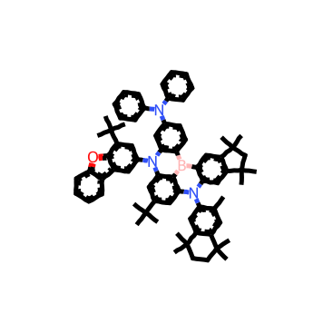 Cc1cc2c(cc1N1c3cc4c(cc3B3c5ccc(N(c6ccccc6)c6ccccc6)cc5N(c5cc(C(C)(C)C)c6oc7ccccc7c6c5)c5cc(C(C)(C)C)cc1c53)C(C)(C)CC4(C)C)C(C)(C)CCC2(C)C